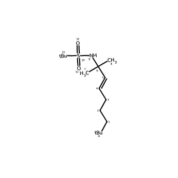 CC(C)(C)CCC/C=C/C(C)(C)NS(=O)(=O)C(C)(C)C